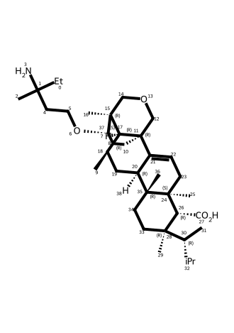 CCC(C)(N)CCO[C@H]1[C@H](C)C[C@@]23COC[C@@]1(C)[C@@H]2CC[C@H]1C3=CC[C@@]2(C)[C@H](C(=O)O)[C@@](C)([C@H](C)C(C)C)CC[C@]12C